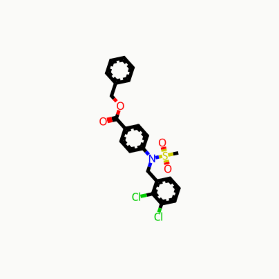 CS(=O)(=O)N(Cc1cccc(Cl)c1Cl)c1ccc(C(=O)OCc2ccccc2)cc1